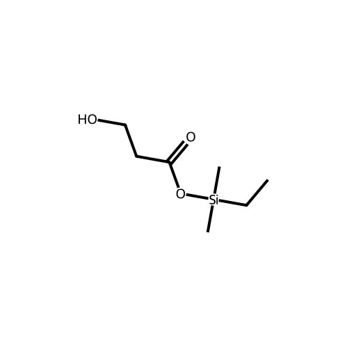 CC[Si](C)(C)OC(=O)CCO